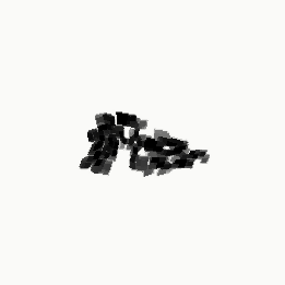 C=C1[C@@H](COP(=O)(O)OP(=O)(O)OP(=O)(O)O)C(CO)[C@H]1n1cnc2c1N=CNC2N